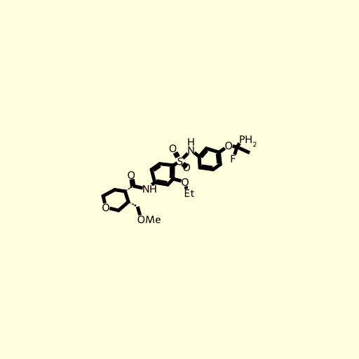 CCOc1cc(NC(=O)[C@H]2CCOC[C@H]2COC)ccc1S(=O)(=O)Nc1cccc(OC(C)(F)P)c1